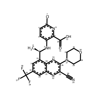 C[C@@H](Nc1ccc(Cl)nc1C(=O)O)c1cc(C(F)(F)F)cc2nc(C#N)c(N3CCOCC3)nc12